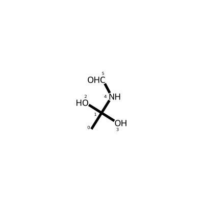 CC(O)(O)NC=O